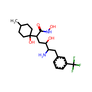 CC1CCC(O)(C(CC(O)C(N)Cc2cccc(C(F)(F)F)c2)C(=O)NO)CC1